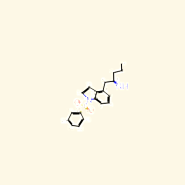 CC[CH]C(=N)Cc1cccc2c1ccn2S(=O)(=O)c1ccccc1